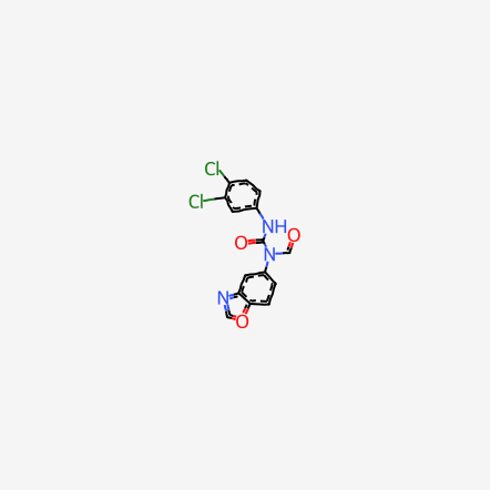 O=CN(C(=O)Nc1ccc(Cl)c(Cl)c1)c1ccc2ocnc2c1